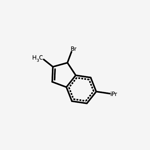 CC1=Cc2ccc(C(C)C)cc2C1Br